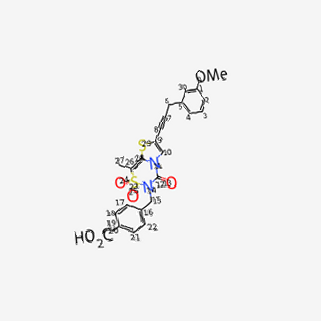 COc1cccc(CC#CC2=CN3C(=O)N(Cc4ccc(C(=O)O)cc4)S(=O)(=O)C(C)=C3S2)c1